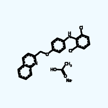 CC(=O)O.Clc1cccc(Cl)c1Nc1ccc(OCc2ccc3ccccc3n2)cc1.[Na]